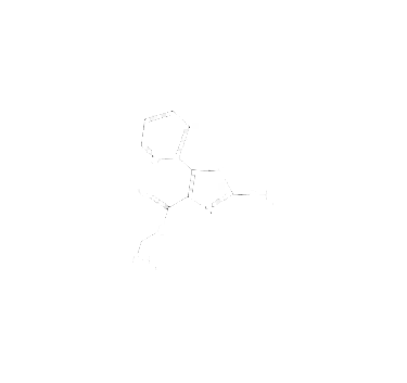 CCOC(=O)c1nc(C)sc1-c1ccccn1